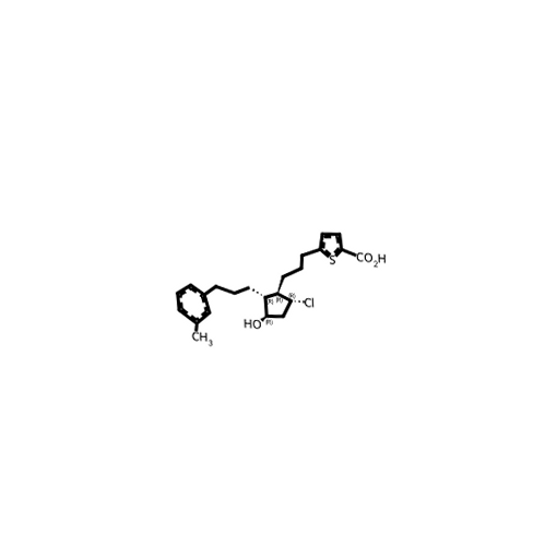 Cc1cccc(CCC[C@@H]2[C@@H](CCCc3ccc(C(=O)O)s3)[C@H](Cl)C[C@H]2O)c1